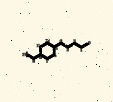 CCCCCC1CCC(CI)CC1